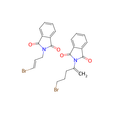 C=C(CCCBr)N1C(=O)c2ccccc2C1=O.O=C1c2ccccc2C(=O)N1CC=CBr